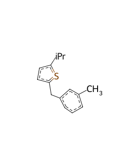 Cc1cccc(Cc2ccc(C(C)C)s2)c1